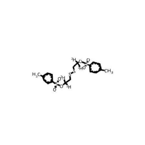 [2H]C([2H])(CSSCC([2H])([2H])OS(=O)(=O)c1ccc(C)cc1)OS(=O)(=O)c1ccc(C)cc1